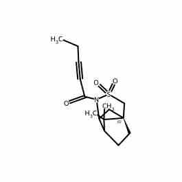 CCC#CC(=O)N1C2C[C@]3(CCC2C3(C)C)CS1(=O)=O